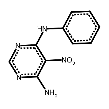 Nc1ncnc(Nc2ccccc2)c1[N+](=O)[O-]